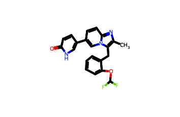 Cc1nc2ccc(-c3ccc(=O)[nH]c3)cn2c1Cc1ccccc1OC(F)F